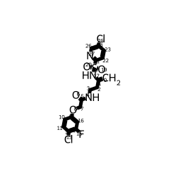 C=C(CCNC(=O)COc1ccc(Cl)c(F)c1)NS(=O)(=O)c1ccc(Cl)cn1